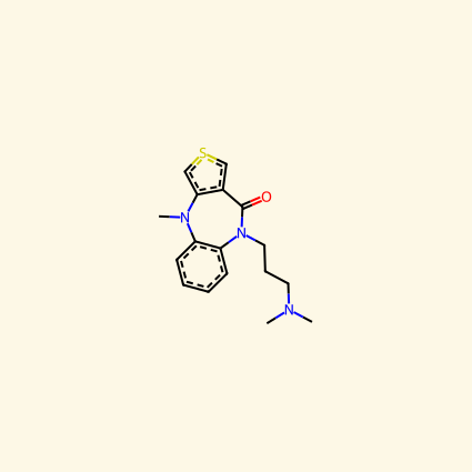 CN(C)CCCN1C(=O)c2cscc2N(C)c2ccccc21